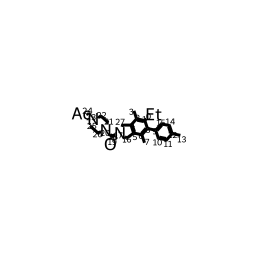 CCc1c(C)c2c(c(C)c1-c1ccc(C)cc1)CN(C(=O)N1CCN(C(C)=O)CC1)C2